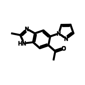 CC(=O)c1cc2[nH]c(C)nc2cc1-n1cccn1